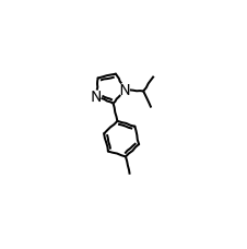 Cc1ccc(-c2nccn2C(C)C)cc1